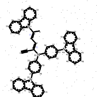 C#C/C(=C\C=C(/C)n1c2ccccc2c2ccccc21)N(c1ccc(-n2c3ccccc3c3ccccc32)cc1)c1ccc(-n2c3ccccc3c3ccccc32)cc1